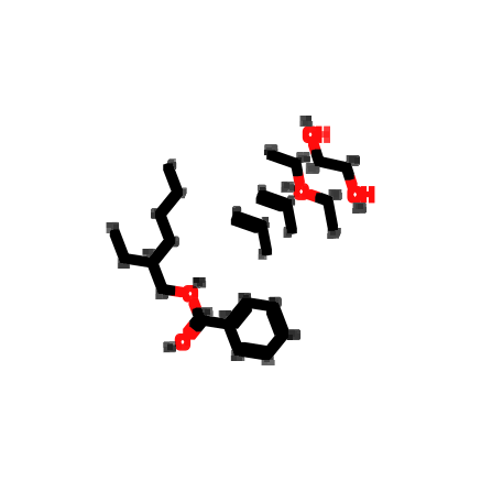 C=CC.C=CC.CCCCC(CC)COC(=O)c1ccccc1.CCOCC.OCCO